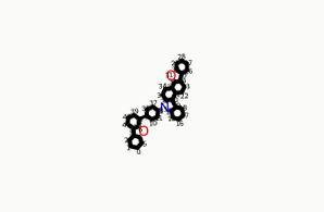 c1ccc2c(c1)oc1c(-c3ccc(-n4c5ccccc5c5c6ccc7c8ccccc8oc7c6ccc54)cc3)cccc12